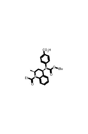 CCC(=O)N1c2ccccc2[C@H](N(C(=O)OC(C)(C)C)c2ccc(C(=O)O)cc2)C[C@@H]1C